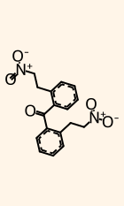 O=C(c1ccccc1CC[N+](=O)[O-])c1ccccc1CC[N+](=O)[O-]